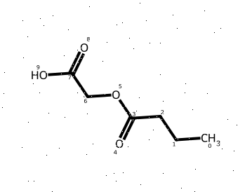 CCCC(=O)O[CH]C(=O)O